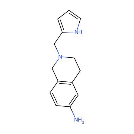 Nc1ccc2c(c1)CCN(Cc1ccc[nH]1)C2